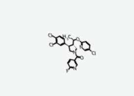 C[C@@H](Oc1ccc(Cl)cn1)[C@@H]1CN(C(=O)c2ccc(F)nc2)C[C@H]1c1ccc(Cl)c(Cl)c1